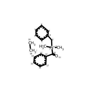 C[N+](C)(Cc1ccccc1)C(=O)c1ccccc1.[CH2]C